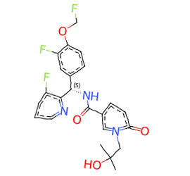 CC(C)(O)Cn1cc(C(=O)N[C@@H](c2ccc(OCF)c(F)c2)c2ncccc2F)ccc1=O